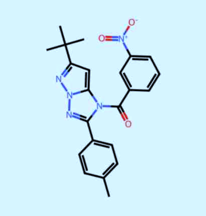 Cc1ccc(-c2nn3nc(C(C)(C)C)cc3n2C(=O)c2cccc([N+](=O)[O-])c2)cc1